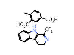 Cc1ccc(C(=O)O)cc1C(=O)O.FC(F)(F)C1=NCCc2c1[nH]c1ccccc21